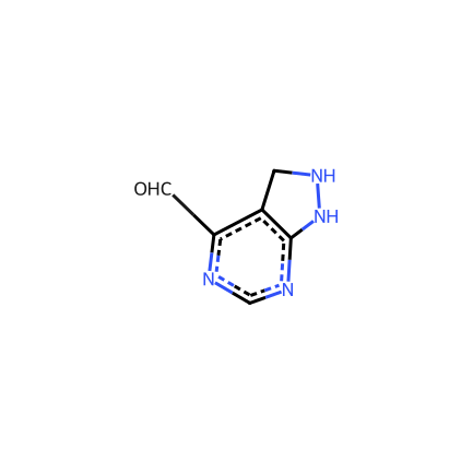 O=Cc1ncnc2c1CNN2